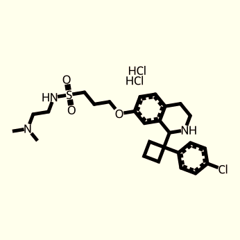 CN(C)CCNS(=O)(=O)CCCOc1ccc2c(c1)C(C1(c3ccc(Cl)cc3)CCC1)NCC2.Cl.Cl